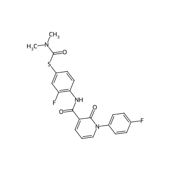 CN(C)C(=O)Sc1ccc(NC(=O)c2cccn(-c3ccc(F)cc3)c2=O)c(F)c1